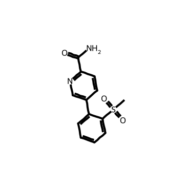 CS(=O)(=O)c1ccccc1-c1ccc(C(N)=O)nc1